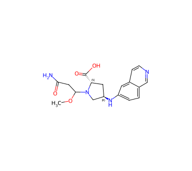 COC(CC(N)=O)N1C[C@H](Nc2ccc3cnccc3c2)C[C@H]1C(=O)O